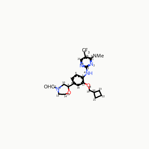 CNc1nc(Nc2ccc(C3CN(C=O)CCO3)cc2OCC2CCC2)ncc1C(F)(F)F